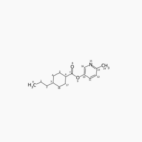 CCCC1CCC(C(=O)Oc2ccc(C)nc2)CC1